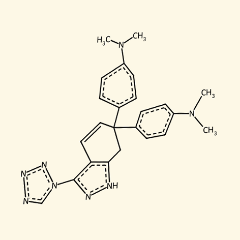 CN(C)c1ccc(C2(c3ccc(N(C)C)cc3)C=Cc3c(-n4cnnn4)n[nH]c3C2)cc1